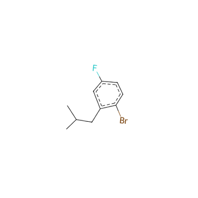 CC(C)Cc1cc(F)ccc1Br